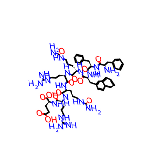 N=C(N)NCCC[C@@H](NC(=O)[C@H](CCCNC(N)=O)NC(=O)[C@@H](CCCNC(=N)N)NC(=O)[C@H](CCCNC(N)=O)NC(=O)[C@H](Cc1ccc2ccccc2c1)NC(=O)[C@@H](Cc1ccccc1)NC(=O)[C@@H](N)Cc1ccccc1)C(=O)N[C@@H](CCC(=O)O)C(=O)O